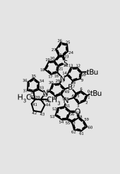 CC(C)(C)c1ccc2c(c1)B1c3cc(C(C)(C)C)ccc3N(c3cccc4c3sc3ccccc34)c3cc(N4c5ccccc5C5(C)CCCCC45C)cc(c31)N2c1cccc2c1oc1ccccc12